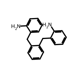 Nc1ccccc1Cc1ccccc1Cc1ccccc1N